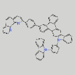 c1cc(-n2c3ccccc3c3ccccc32)cc(-n2c3ccccc3c3cc4c5ccccc5c5cc(-c6ccc(-c7ccc8ccc9cccnc9c8n7)cc6)ccc5c4cc32)c1